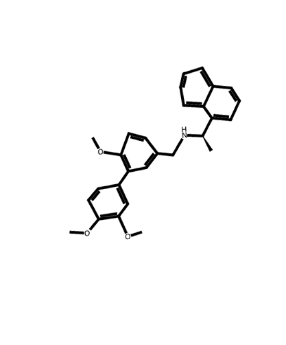 COc1ccc(-c2cc(CN[C@H](C)c3cccc4ccccc34)ccc2OC)cc1OC